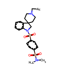 CC(=O)CN1CCC2(CC1)CN(S(=O)(=O)c1ccc(S(=O)(=O)N(C)C)cc1)c1ccccc12